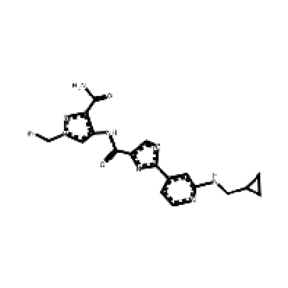 CC(C)Cn1cc(NC(=O)c2coc(-c3ccnc(NCC4CC4)c3)n2)c(C(N)=O)n1